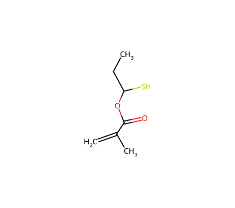 C=C(C)C(=O)OC(S)CC